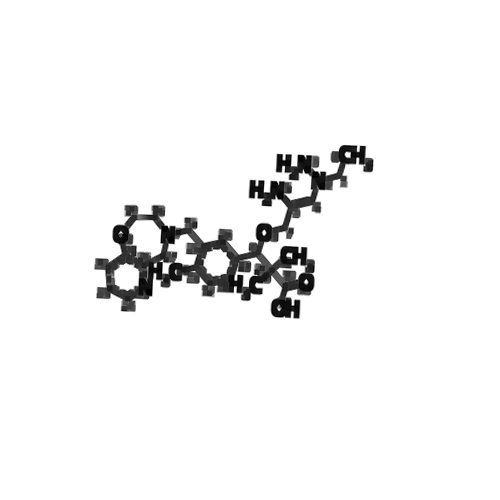 CCN(N)/C=C(\N)COC(c1ccc(C)c(CN2CCOc3cccnc3C2)c1)C(C)(C)C(=O)O